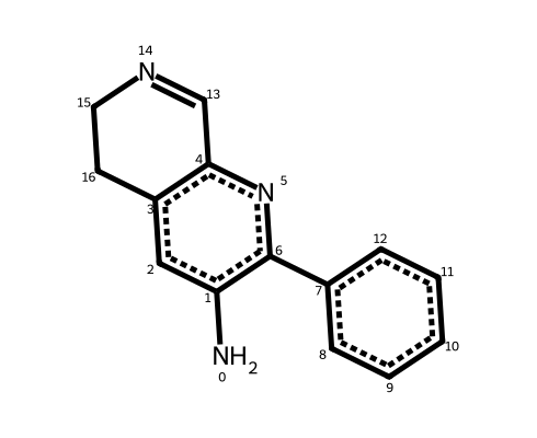 Nc1cc2c(nc1-c1ccccc1)C=NCC2